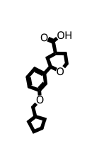 O=C(O)C1CCOC(c2cccc(OCC3CCCC3)c2)C1